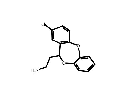 NCCC1Oc2ccccc2Oc2ccc(Cl)cc21